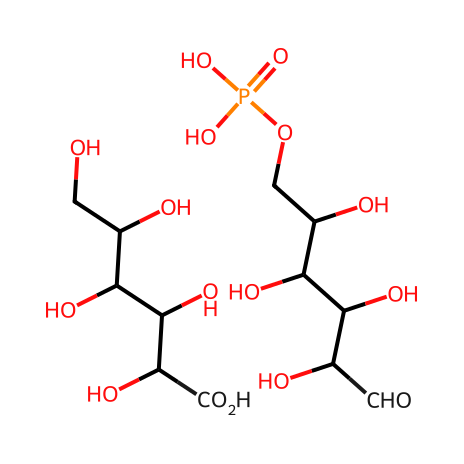 O=C(O)C(O)C(O)C(O)C(O)CO.O=CC(O)C(O)C(O)C(O)COP(=O)(O)O